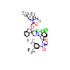 CCOC(=O)CCCN(C)C(=O)CO[C@H]1Cc2ccccc2C12CCN(CC[C@]1(c3ccc(Cl)c(Cl)c3)CN(C(=O)c3cc(C(F)(F)F)cc(C(F)(F)F)c3)CCO1)CC2.Cl